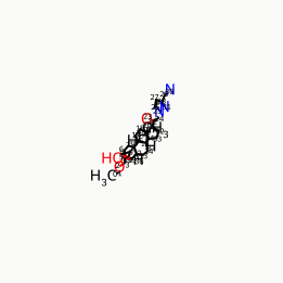 CCOC[C@@]1(O)CC[C@@]2(C3CC3)[C@H](CC[C@@H]3[C@@H]2CC[C@]2(C)C(C(=O)Cn4ccc(C#N)n4)=CC[C@@H]32)C1